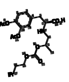 CC(=O)Oc1ccc(C[C@H](NCC(C)OC(=O)OCCC(C)C)C(=O)O)cc1OC(C)=O